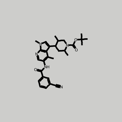 Cc1c(NC(=O)c2cccc(C#N)c2)cnc2c1c(C1CC(C)N(C(=O)OC(C)(C)C)CC1C)cn2C